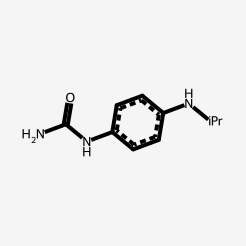 CC(C)Nc1ccc(NC(N)=O)cc1